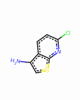 Nc1csc2nc(Cl)ccc12